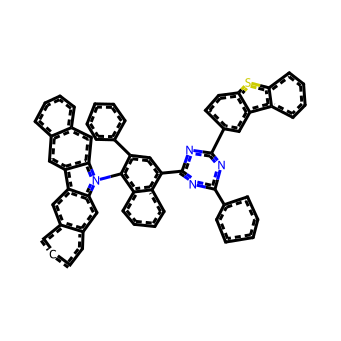 c1ccc(-c2nc(-c3ccc4sc5ccccc5c4c3)nc(-c3cc(-c4ccccc4)c(-n4c5cc6ccccc6cc5c5cc6ccccc6cc54)c4ccccc34)n2)cc1